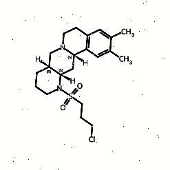 Cc1cc2c(cc1C)[C@@H]1C[C@H]3[C@H](CCCN3S(=O)(=O)CCCCl)CN1CC2